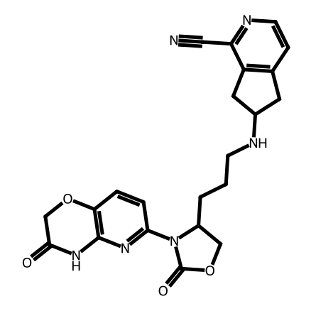 N#Cc1nccc2c1CC(NCCCC1COC(=O)N1c1ccc3c(n1)NC(=O)CO3)C2